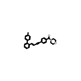 Cc1ccc(-c2ccccc2/C=C/C#Cc2ccc(C(=O)N3CCOCC3)cc2)cc1